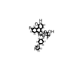 O=C(O)C(F)(F)F.O=c1[nH]ccc2c3[nH]c(Sc4ccc(-n5ccnc5)cc4)nc3c3ccc(F)cc3c12